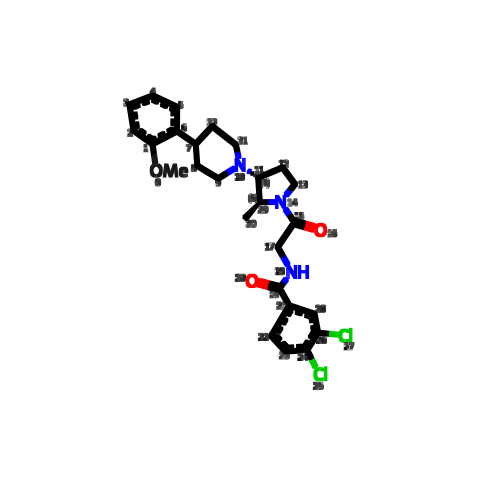 COc1ccccc1C1CCN([C@@H]2CCN(C(=O)CNC(=O)c3ccc(Cl)c(Cl)c3)[C@H]2C)CC1